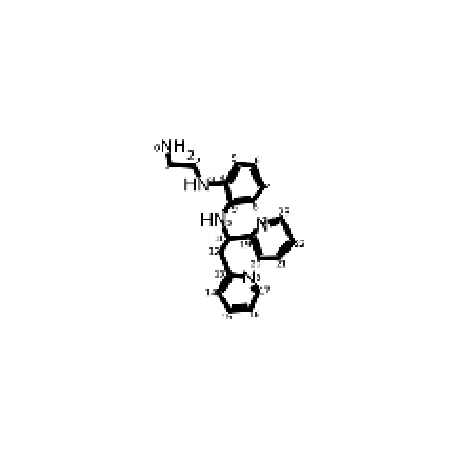 NCCNc1ccccc1NC(Cc1ccccn1)c1ccccn1